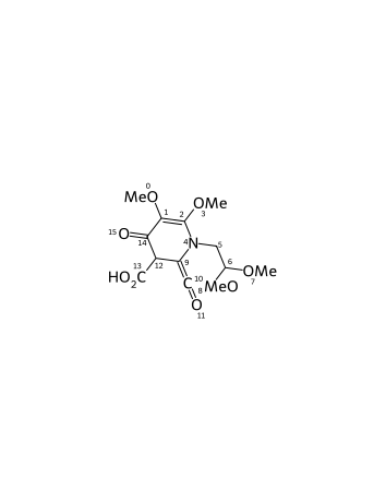 COC1=C(OC)N(CC(OC)OC)C(=C=O)C(C(=O)O)C1=O